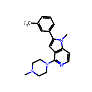 CN1CCN(c2nccc3c2cc(-c2cccc(C(F)(F)F)c2)n3C)CC1